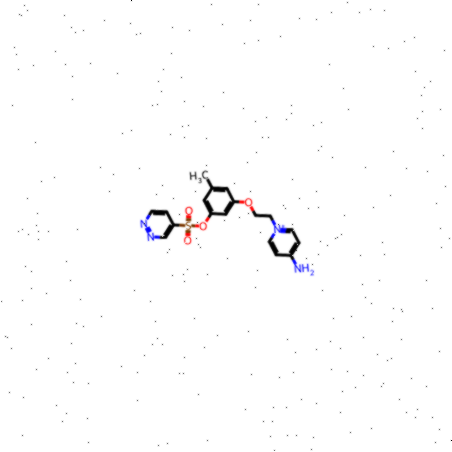 Cc1cc(OCC[n+]2ccc(N)cc2)cc(OS(=O)(=O)c2ccnnc2)c1